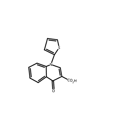 O=C(O)c1cn(-c2cccs2)c2ccccc2c1=O